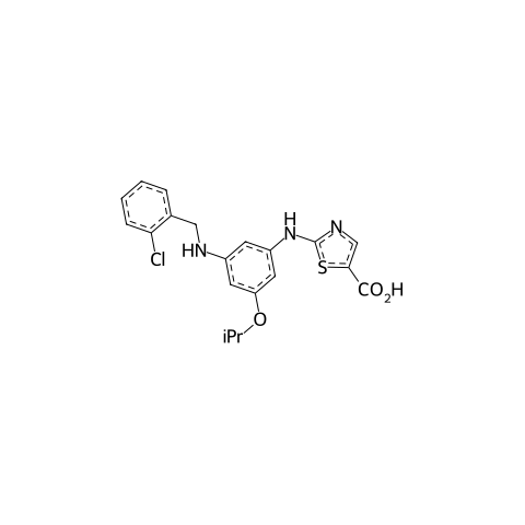 CC(C)Oc1cc(NCc2ccccc2Cl)cc(Nc2ncc(C(=O)O)s2)c1